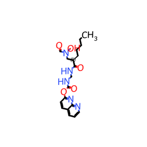 CCCCC[C@H](CN(O)C=O)C(=O)NCNC(=O)Oc1ccc2cccnc2n1